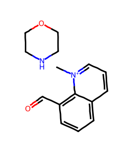 C1COCCN1.C[n+]1cccc2cccc(C=O)c21